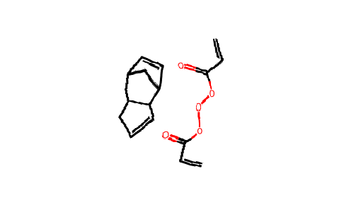 C1=CC2C3C=CC(C3)C2C1.C=CC(=O)OOOC(=O)C=C